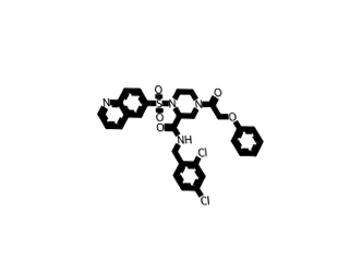 O=C(NCc1ccc(Cl)cc1Cl)C1CN(C(=O)COc2ccccc2)CCN1S(=O)(=O)c1ccc2ncccc2c1